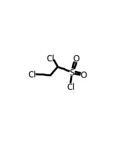 O=S(=O)(Cl)C(Cl)CCl